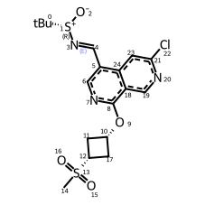 CC(C)(C)[S@+]([O-])/N=C/c1cnc(O[C@H]2C[C@@H](S(C)(=O)=O)C2)c2cnc(Cl)cc12